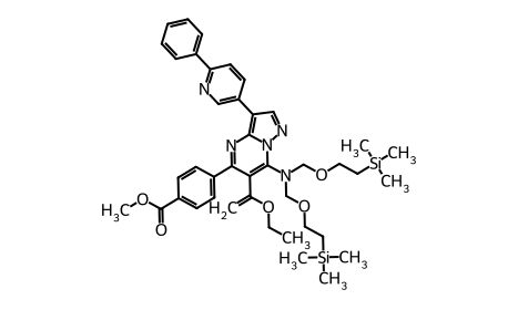 C=C(OCC)c1c(-c2ccc(C(=O)OC)cc2)nc2c(-c3ccc(-c4ccccc4)nc3)cnn2c1N(COCC[Si](C)(C)C)COCC[Si](C)(C)C